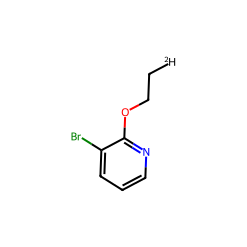 [2H]CCOc1ncccc1Br